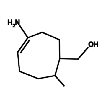 CC1CC/C=C(/N)CCC1CO